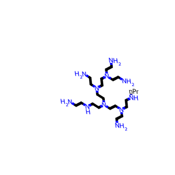 CCCNCCN(CCN)CCN(CCNCCN)CCN(CCN)CCN(CCN)CCN